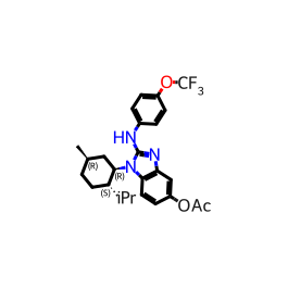 CC(=O)Oc1ccc2c(c1)nc(Nc1ccc(OC(F)(F)F)cc1)n2[C@@H]1C[C@H](C)CC[C@H]1C(C)C